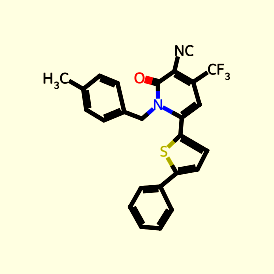 [C-]#[N+]c1c(C(F)(F)F)cc(-c2ccc(-c3ccccc3)s2)n(Cc2ccc(C)cc2)c1=O